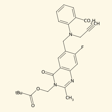 C#CCN(Cc1cc2c(=O)n(COC(=O)C(C)(C)C)c(C)nc2cc1F)c1ccccc1C(=O)O